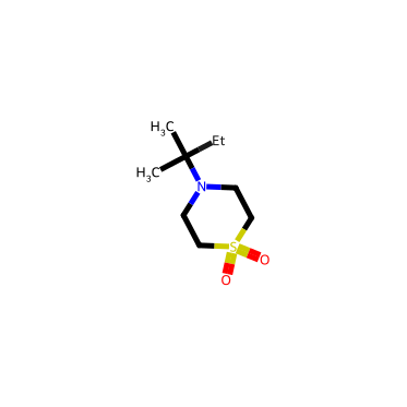 CCC(C)(C)N1CCS(=O)(=O)CC1